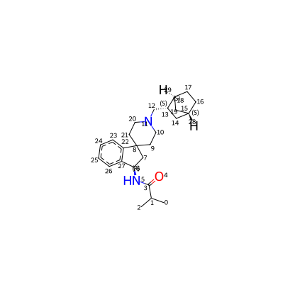 CC(C)C(=O)N[C@@H]1CC2(CCN(C[C@H]3C[C@H]4CC[C@H]3C4)CC2)c2ccccc21